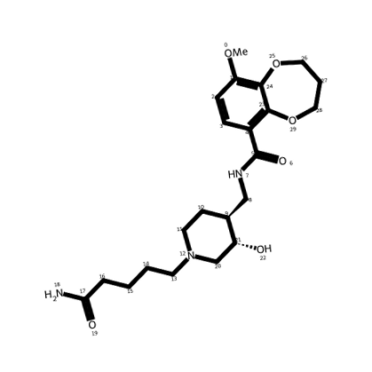 COc1ccc(C(=O)NC[C@@H]2CCN(CCCCC(N)=O)C[C@H]2O)c2c1OCCCO2